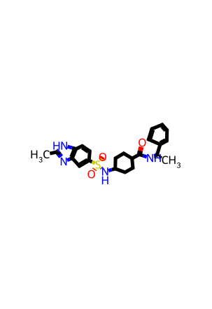 Cc1nc2cc(S(=O)(=O)NC3CCC(C(=O)N[C@H](C)c4ccccc4)CC3)ccc2[nH]1